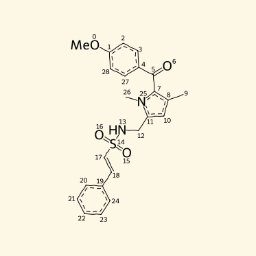 COc1ccc(C(=O)c2c(C)cc(CNS(=O)(=O)C=Cc3ccccc3)n2C)cc1